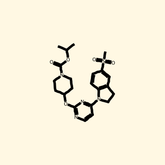 CC(C)OC(=O)N1CCC(Oc2nccc(N3CCc4cc(S(C)(=O)=O)ccc43)n2)CC1